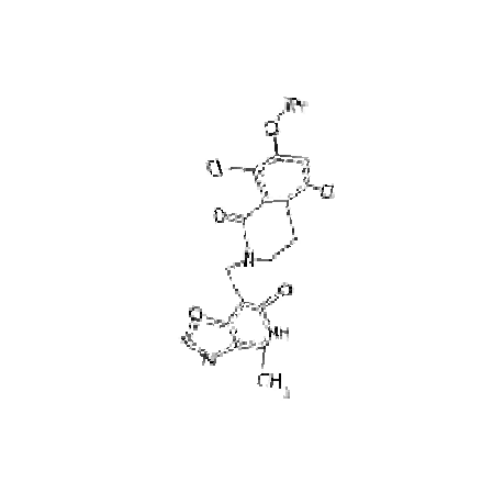 Cc1[nH]c(=O)c(CN2CCc3c(Cl)cc(OC(C)C)c(Cl)c3C2=O)c2ocnc12